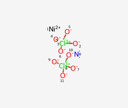 [N].[Ni+2].[O-][Cl+3]([O-])([O-])[O-].[O-][Cl+3]([O-])([O-])[O-]